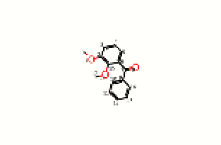 COc1cccc(C(=O)c2ccccc2)c1OC